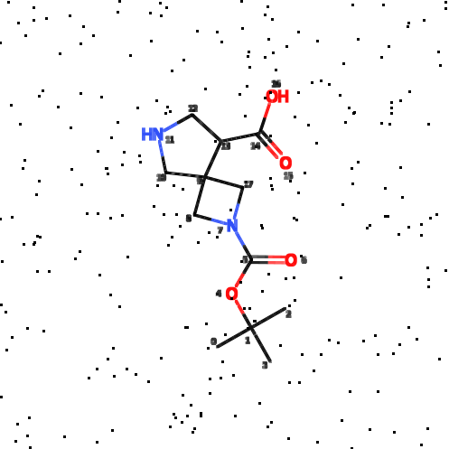 CC(C)(C)OC(=O)N1CC2(CNCC2C(=O)O)C1